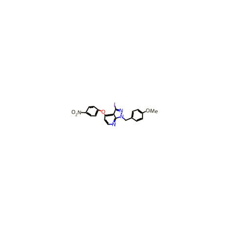 COc1ccc(Cn2nc(I)c3c(Oc4ccc([N+](=O)[O-])cc4)ccnc32)cc1